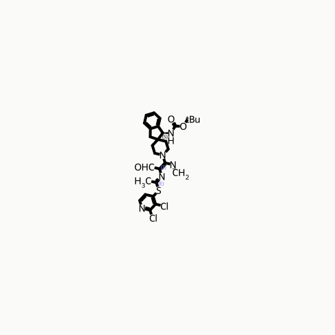 C=N/C(=C(C=O)\N=C(/C)Sc1ccnc(Cl)c1Cl)N1CCC2(CC1)Cc1ccccc1[C@H]2NC(=O)OC(C)(C)C